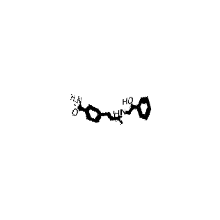 C[C@@H](CCc1ccc(C(N)=O)cc1)NC[C@@H](O)c1ccccc1